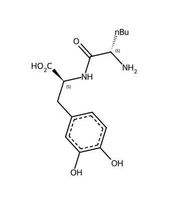 CCCC[C@H](N)C(=O)N[C@@H](Cc1ccc(O)c(O)c1)C(=O)O